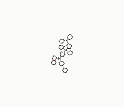 c1ccc(-c2ccc(N(c3ccccc3)c3ccc4c(c3)-c3ccccc3C43c4ccccc4-c4c(N(c5ccccc5)c5ccccc5)cccc43)c(-c3ccccc3)c2)cc1